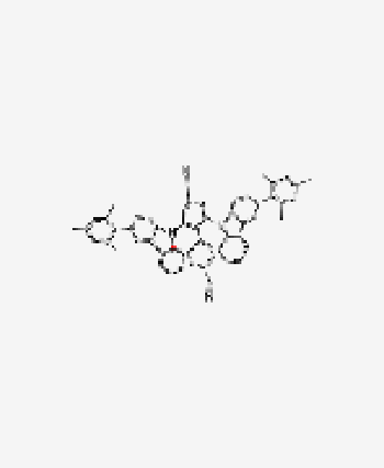 Cc1cc(C)c(-c2ccc3c(c2)c2ccccc2n3-c2cc(C#N)cc(-n3c4ccccc4c4cc(-c5c(C)cc(C)cc5C)ccc43)c2-c2ccc(C#N)cc2F)c(C)c1